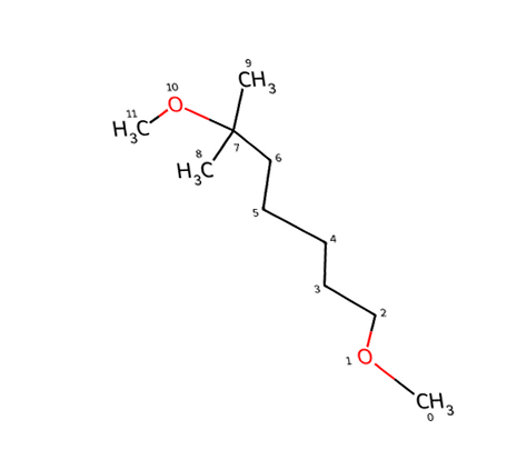 COCCCCCC(C)(C)OC